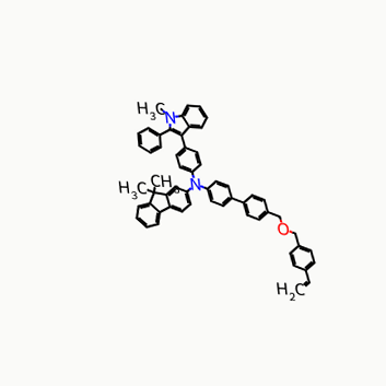 C=Cc1ccc(COCc2ccc(-c3ccc(N(c4ccc(-c5c(-c6ccccc6)n(C)c6ccccc56)cc4)c4ccc5c(c4)C(C)(C)c4ccccc4-5)cc3)cc2)cc1